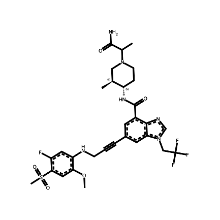 COc1cc(S(C)(=O)=O)c(F)cc1NCC#Cc1cc(C(=O)N[C@H]2CCN(C(C)C(N)=O)C[C@@H]2C)c2ncn(CC(F)(F)F)c2c1